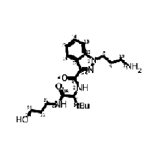 CC(C)(C)C(NC(=O)c1nn(CCCN)c2ccccc12)C(=O)NCCCO